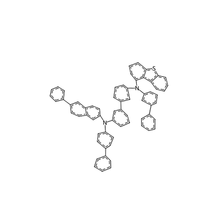 c1ccc(-c2ccc(N(c3cccc(-c4cccc(N(c5cccc(-c6ccccc6)c5)c5cccc6sc7ccccc7c56)c4)c3)c3ccc4cc(-c5ccccc5)ccc4c3)cc2)cc1